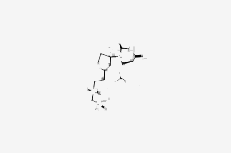 CC(C)O[C@@H]1C(CCS(=O)(=O)CP(=O)(O)O)OC[C@]1(F)n1ccc(=O)[nH]c1=O